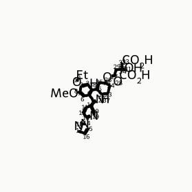 CCOc1cc2c(cc1OC)C(c1ccc(-n3cccn3)nc1)=N[C@@H]1CC[C@@H](OC(=O)CC(O)(CC(=O)O)C(=O)O)C[C@H]21